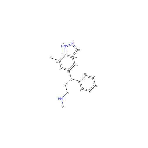 CNCC[C@@H](c1ccccc1)c1cc(C)c2[nH]ncc2c1